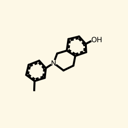 Cc1cccc(N2CCc3cc(O)ccc3C2)c1